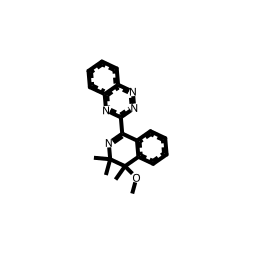 COC1(C)c2ccccc2C(c2nnc3ccccc3n2)=NC1(C)C